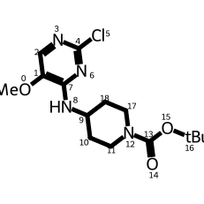 COc1cnc(Cl)nc1NC1CCN(C(=O)OC(C)(C)C)CC1